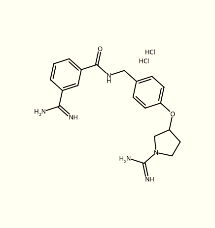 Cl.Cl.N=C(N)c1cccc(C(=O)NCc2ccc(OC3CCN(C(=N)N)C3)cc2)c1